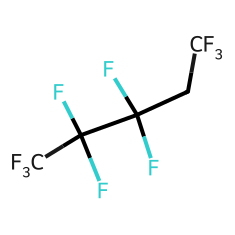 FC(F)(F)CC(F)(F)C(F)(F)C(F)(F)F